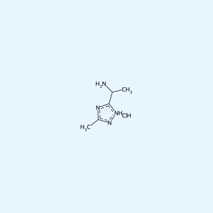 Cc1n[nH]c(C(C)N)n1.Cl